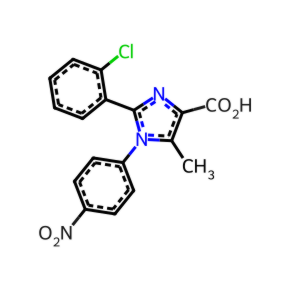 Cc1c(C(=O)O)nc(-c2ccccc2Cl)n1-c1ccc([N+](=O)[O-])cc1